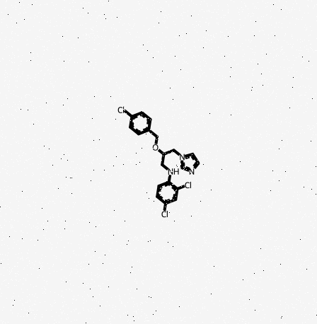 Clc1ccc(COC(CNc2ccc(Cl)cc2Cl)Cn2ccnc2)cc1